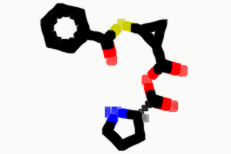 O=C(SC1CC1C(=O)OC(=O)[C@@H]1CCCN1)c1ccccc1